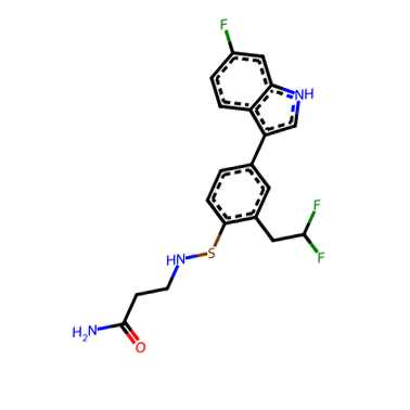 NC(=O)CCNSc1ccc(-c2c[nH]c3cc(F)ccc23)cc1CC(F)F